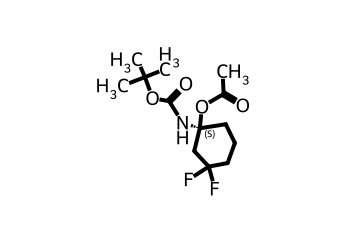 CC(=O)O[C@@]1(NC(=O)OC(C)(C)C)CCCC(F)(F)C1